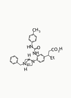 CCC(CC(=O)O)c1ccc(N2C[C@@H]3C[C@H]2CN3Cc2ccccc2)c(NC(=O)Nc2ccc(C)cc2)c1